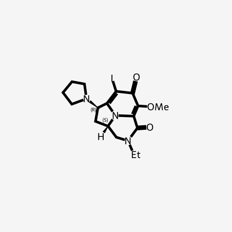 CCN1C[C@@H]2C[C@@H](N3CCCC3)c3c(I)c(=O)c(OC)c(n32)C1=O